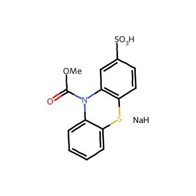 COC(=O)N1c2ccccc2Sc2ccc(S(=O)(=O)O)cc21.[NaH]